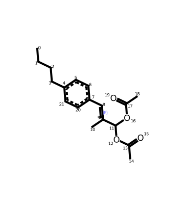 CCCCc1ccc(/C=C(\C)C(OC(C)=O)OC(C)=O)cc1